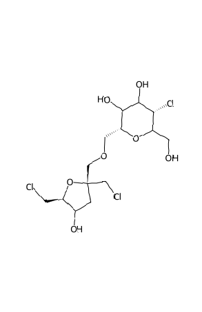 OCC1O[C@H](COC[C@@]2(CCl)CC(O)[C@@H](CCl)O2)C(O)C(O)[C@@H]1Cl